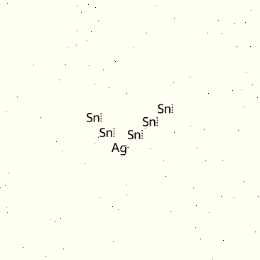 [Ag].[Sn].[Sn].[Sn].[Sn].[Sn]